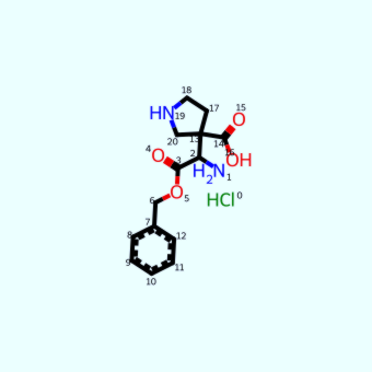 Cl.NC(C(=O)OCc1ccccc1)C1(C(=O)O)CCNC1